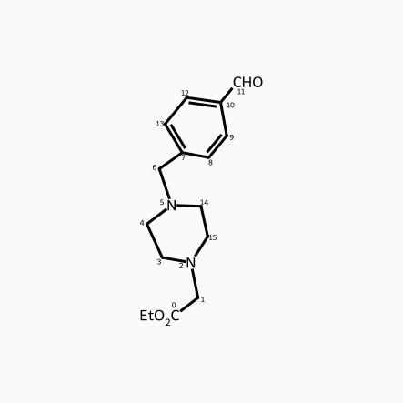 CCOC(=O)CN1CCN(Cc2ccc(C=O)cc2)CC1